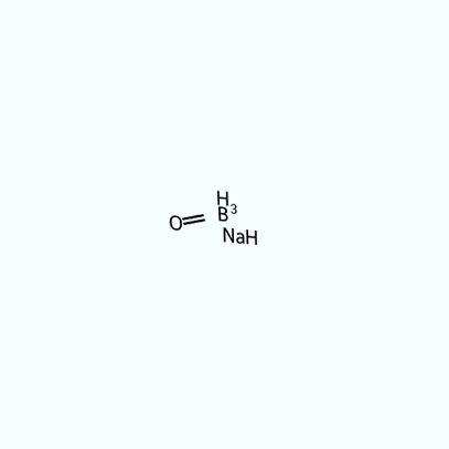 B.C=O.[NaH]